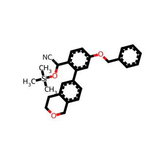 C[Si](C)(C)OC(C#N)c1ccc(OCc2ccccc2)cc1-c1ccc2c(c1)CCOC2